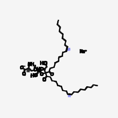 CCCCCCCC/C=C\CCCCCCCC(=O)C(OP(=O)(O)OC[C@H](N)C(=O)[O-])(C(=O)CCCCCCC/C=C\CCCCCCCC)[C@@H](O)CO.[Na+]